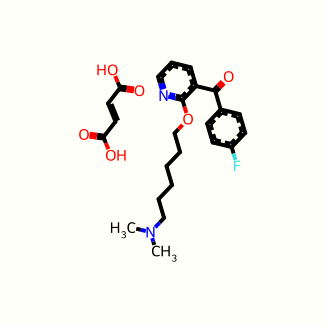 CN(C)CCCCCCOc1ncccc1C(=O)c1ccc(F)cc1.O=C(O)C=CC(=O)O